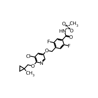 CC1(COc2ncc(OCc3cc(F)c(C(=O)NS(C)(=O)=O)cc3F)cc2Cl)CC1